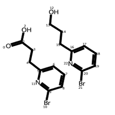 O=C(O)CCc1cccc(Br)n1.OCCCc1cccc(Br)n1